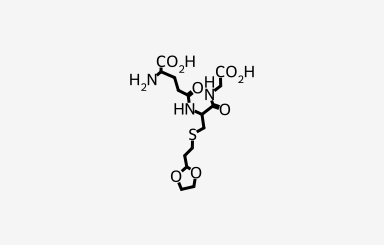 NC(CCC(=O)NC(CSCCC1OCCO1)C(=O)NCC(=O)O)C(=O)O